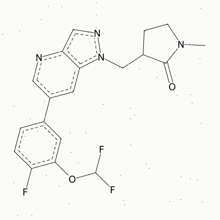 CN1CCC(Cn2ncc3ncc(-c4ccc(F)c(OC(F)F)c4)cc32)C1=O